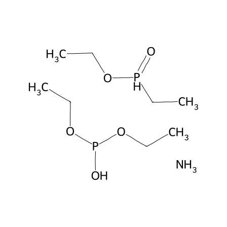 CCOP(O)OCC.CCO[PH](=O)CC.N